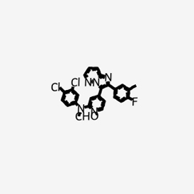 Cc1cc(-c2nc3cccnn3c2-c2ccnc(N(C=O)c3ccc(Cl)c(Cl)c3)c2)ccc1F